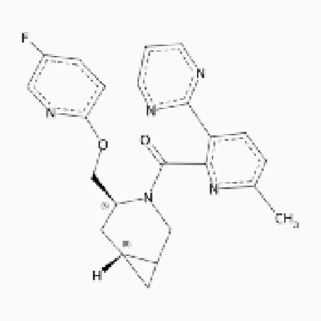 Cc1ccc(-c2ncccn2)c(C(=O)N2CC3C[C@@H]3C[C@H]2COc2ccc(F)cn2)n1